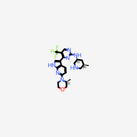 C[C@H]1CNC[C@@H](Nc2ncc(C(F)(F)F)c(-c3c[nH]c4nc(N5CCOC[C@@H]5C)ccc34)n2)C1